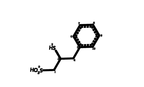 O=S(=O)(O)CC(S)Cc1ccccc1